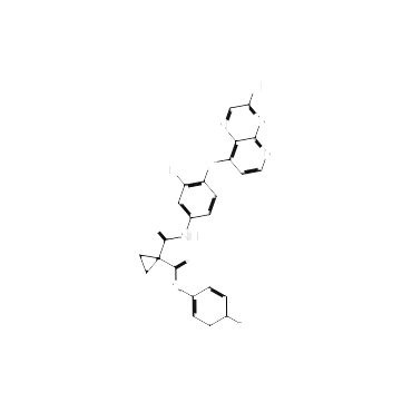 O=C(NC1=CCC(F)C=C1)C1(C(=O)Nc2ccc(Oc3ccnc4nc(Cl)cnc34)c(F)c2)CC1